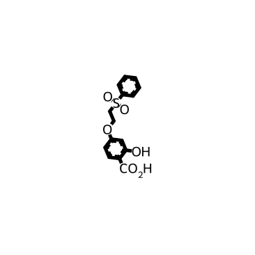 O=C(O)c1ccc(OCCS(=O)(=O)c2ccccc2)cc1O